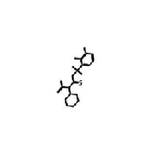 C=C(C)C(C(=S)CC(C)(C)c1cccc(C)c1C)C1CCCCC1